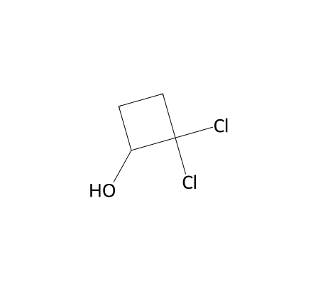 OC1CCC1(Cl)Cl